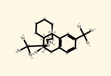 [2H]C([2H])([2H])c1ccc2c(c1)[C@@]13CCCC[C@@H]1[C@@H](C2)N(C([2H])([2H])[2H])CC3